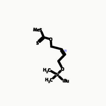 CSC(=S)OC/C=C\CO[Si](C)(C)C(C)(C)C